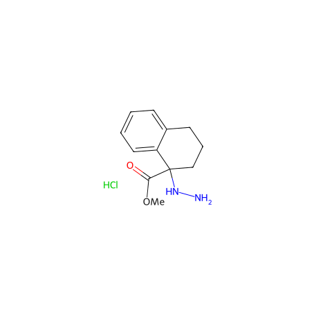 COC(=O)C1(NN)CCCc2ccccc21.Cl